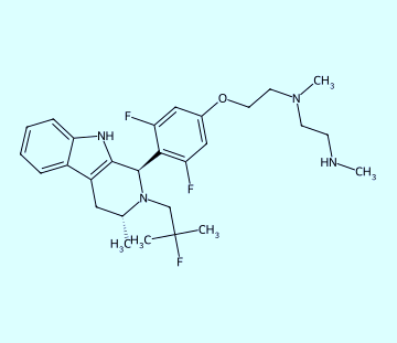 CNCCN(C)CCOc1cc(F)c([C@@H]2c3[nH]c4ccccc4c3C[C@@H](C)N2CC(C)(C)F)c(F)c1